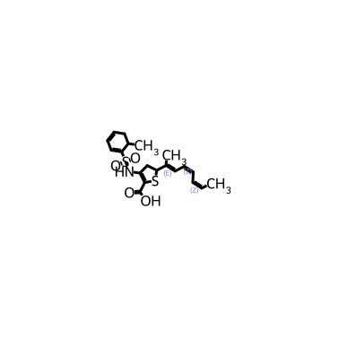 C\C=C/C=C\C=C(/C)C1CC(NS(=O)(=O)C2=CC=CCC2C)=C(C(=O)O)S1